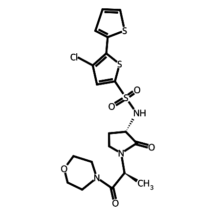 C[C@@H](C(=O)N1CCOCC1)N1CC[C@H](NS(=O)(=O)c2cc(Cl)c(-c3cccs3)s2)C1=O